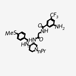 CCCN1CC[C@H](NCc2ccc(SC)cc2)[C@H](NC(=O)CNC(=O)c2cc(N)cc(C(F)(F)F)c2)C1